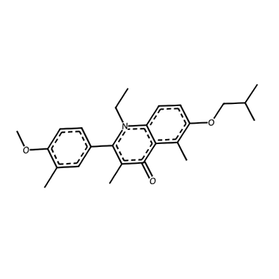 CCn1c(-c2ccc(OC)c(C)c2)c(C)c(=O)c2c(C)c(OCC(C)C)ccc21